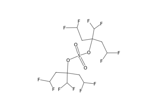 O=S(=O)(OC(CC(F)F)(CC(F)F)C(F)F)OC(CC(F)F)(CC(F)F)C(F)F